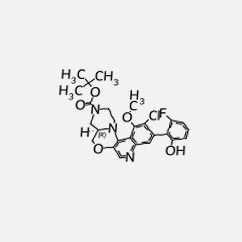 COc1c(Cl)c(-c2c(O)cccc2F)cc2ncc3c(c12)N1CCN(C(=O)OC(C)(C)C)C[C@@H]1CO3